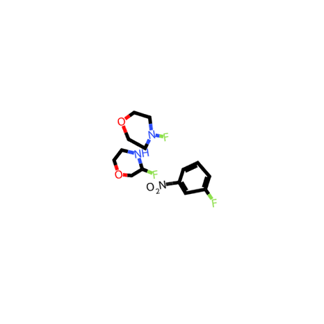 FC1COCCN1.FN1CCOCC1.O=[N+]([O-])c1cccc(F)c1